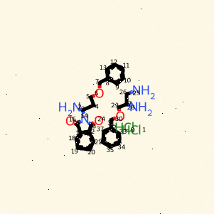 Cl.Cl.NC(CCOCc1ccccc1)N1C(=O)c2ccccc2C1=O.NCC(N)COCc1ccccc1